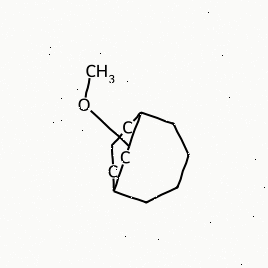 COC1CC2CCCCC1CCC2